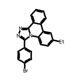 CCc1ccc2c(c1)c1ccccc1c1nnc(-c3ccc(Br)cc3)n21